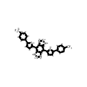 FC(F)(F)c1ccc(-c2ccc(-c3c4c(c(-c5ccc(-c6ccc(C(F)(F)F)cc6)s5)c5nsnc35)N=S=N4)s2)cc1